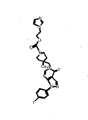 O=C(OCCn1ccnc1)N1CCC(O)(Cn2cnc3c(cnn3-c3ccc(F)cc3)c2=O)CC1